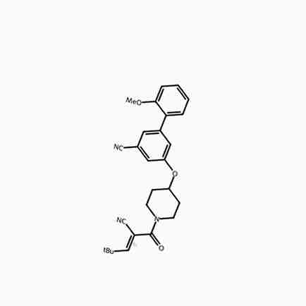 COc1ccccc1-c1cc(C#N)cc(OC2CCN(C(=O)/C(C#N)=C/C(C)(C)C)CC2)c1